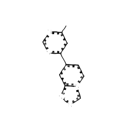 Clc1cc(-c2ccn3cnnc3c2)ncn1